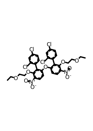 CCOCCOc1c([N+](=O)[O-])ccc(Oc2ccc([N+](=O)[O-])c(OCCOCC)c2-c2ccc(Cl)cc2Cl)c1-c1ccc(Cl)cc1Cl